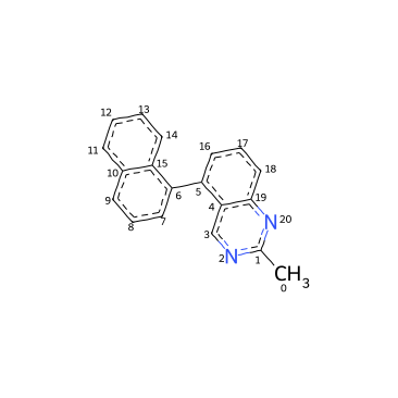 Cc1ncc2c(-c3cccc4ccccc34)cccc2n1